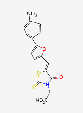 O=C(O)CN1C(=O)C(=Cc2ccc(-c3ccc([N+](=O)[O-])cc3)o2)SC1=S